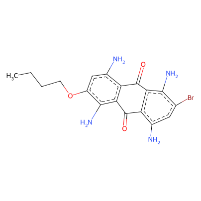 CCCCOc1cc(N)c2c(c1N)C(=O)c1c(N)cc(Br)c(N)c1C2=O